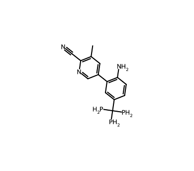 Cc1cc(-c2cc(C(P)(P)P)ccc2N)cnc1C#N